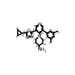 Cc1cc(C)cc(-c2cncc(-c3nnc(C4CC4)o3)c2N2CCC(N)CC2)c1